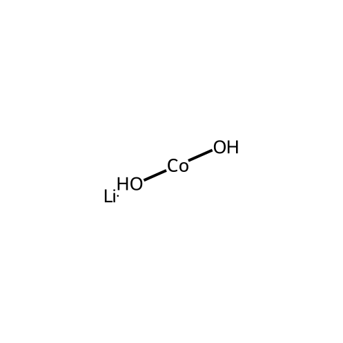 [Li].[OH][Co][OH]